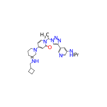 CC(C)Nc1cncc(-c2cn(C(C)n3ccc(N4CCC[C@@H](NCC5CCC5)C4)cc3=O)nn2)c1